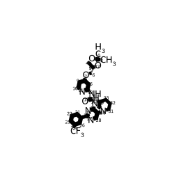 CC1(C)OC[C@@H](COc2ccnc(NC(=O)N3c4nc(-c5cccc(C(F)(F)F)c5)ncc4N4CCC[C@H]3C4)c2)O1